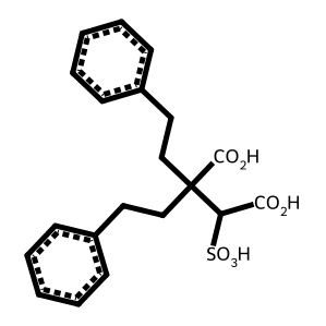 O=C(O)C(C(CCc1ccccc1)(CCc1ccccc1)C(=O)O)S(=O)(=O)O